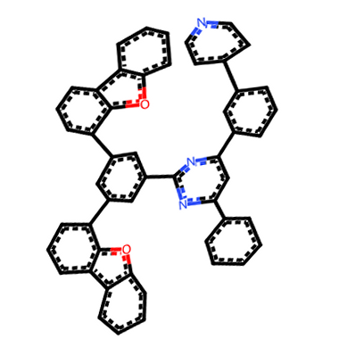 c1ccc(-c2cc(-c3cccc(-c4ccncc4)c3)nc(-c3cc(-c4cccc5c4oc4ccccc45)cc(-c4cccc5c4oc4ccccc45)c3)n2)cc1